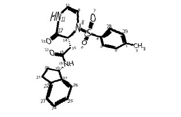 Cc1ccc(S(=O)(=O)N2C=CNC(=O)[C@H]2CC(=O)N[C@H]2CCc3ccccc32)cc1